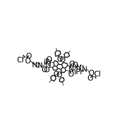 C=C(Cl)C(=O)OCCN1CCN(C(=O)C(C(C)C)N2C(=O)c3cc(Oc4ccc(C)cc4)c4c5c(Oc6ccc(C)cc6)cc6c7c(cc(Oc8ccc(C)cc8)c(c8c(Oc9ccc(C)cc9)cc(c3c48)C2=O)c75)C(=O)N(C(C(=O)N2CCN(CCOC(=O)C(=C)Cl)CC2)C(C)C)C6=O)CC1